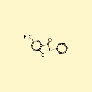 O=C(Oc1ccccc1)c1cc(C(F)(F)F)ccc1Cl